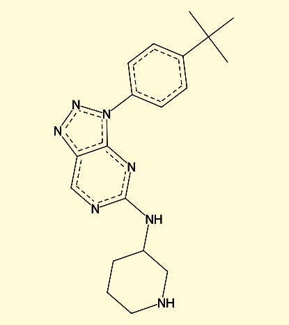 CC(C)(C)c1ccc(-n2nnc3cnc(NC4CCCNC4)nc32)cc1